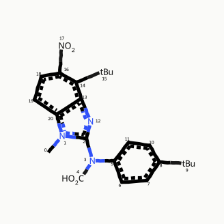 Cn1c(N(C(=O)O)c2ccc(C(C)(C)C)cc2)nc2c(C(C)(C)C)c([N+](=O)[O-])ccc21